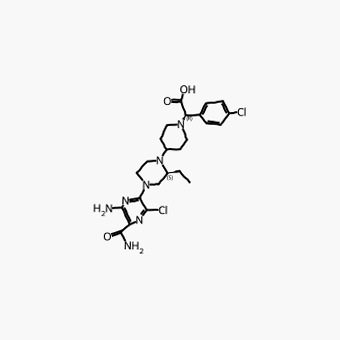 CC[C@H]1CN(c2nc(N)c(C(N)=O)nc2Cl)CCN1C1CCN([C@@H](C(=O)O)c2ccc(Cl)cc2)CC1